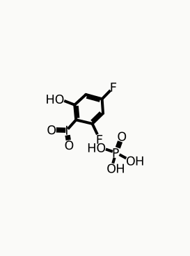 O=I(=O)c1c(O)cc(F)cc1F.O=P(O)(O)O